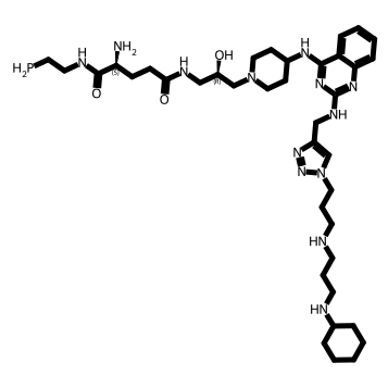 N[C@@H](CCC(=O)NC[C@@H](O)CN1CCC(Nc2nc(NCc3cn(CCCNCCCNC4CCCCC4)nn3)nc3ccccc23)CC1)C(=O)NCCP